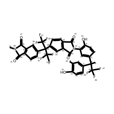 Cc1cc(C(C)(c2ccc(O)c(N3C(=O)c4ccc(C(c5ccc6c(c5)C(=O)N(C)C6=O)(C(F)(F)F)C(F)(F)F)cc4C3=O)c2)C(F)(F)F)ccc1O